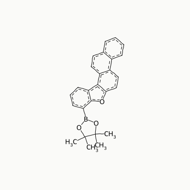 CC1(C)OB(c2cccc3c2oc2ccc4c5ccccc5ccc4c23)OC1(C)C